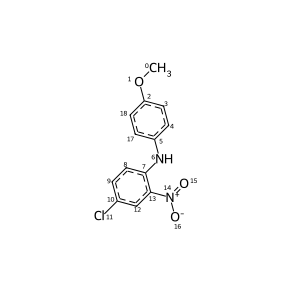 COc1ccc(Nc2ccc(Cl)cc2[N+](=O)[O-])cc1